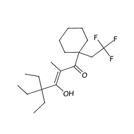 CCC(CC)(CC)/C(O)=C(\C)C(=O)C1(CC(F)(F)F)CCCCC1